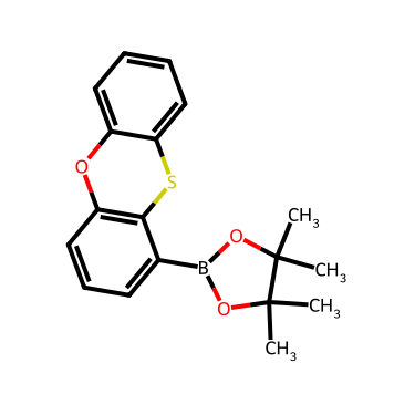 CC1(C)OB(c2cccc3c2Sc2ccccc2O3)OC1(C)C